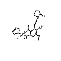 COc1cc(NS(=O)(=O)c2cccs2)c(SC)c(C=CN2CCCC2=O)c1O